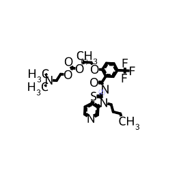 CCCCn1/c(=N/C(=O)c2cc(C(F)(F)F)ccc2OC[C@H](C)OC(=O)OCCN(C)C)sc2ccncc21